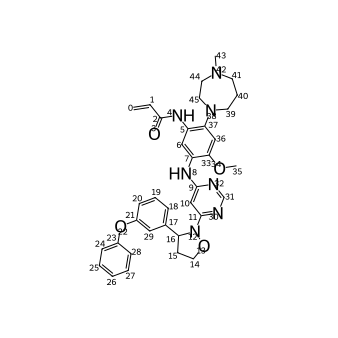 C=CC(=O)Nc1cc(Nc2cc(N3OCCC3c3cccc(Oc4ccccc4)c3)ncn2)c(OC)cc1N1CCCN(C)CC1